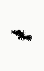 CC(C)Nc1cc(-c2ccc3cc(C#N)cnn23)ncc1C(=O)NCC1CCS(=O)(=O)C1